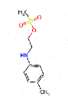 Cc1ccc(NCCOS(C)(=O)=O)cc1